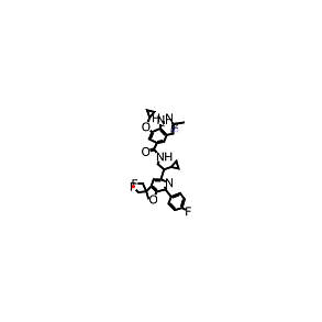 C/C(N)=C/c1cc(C(=O)NCC(c2cc3c(c(-c4ccc(F)cc4)n2)OCC3(CF)CF)C2CC2)cc(OC2CC2)c1N